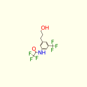 O=C(Nc1cc(CCCO)cc(C(F)(F)F)c1)C(F)(F)F